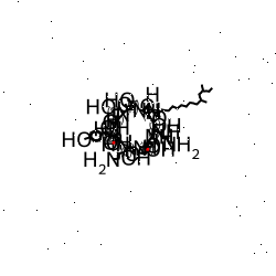 CCC(C)CC(C)CCCCCCCCC(=O)N[C@H]1C[C@H](O)[C@H](NCCN)NC(=O)[C@H]2[C@H](O)CCN2C(=O)[C@@H]([C@@H](O)CCN)NC(=O)[C@@H]([C@@H](O)[C@H](O)c2ccc(O)cc2)NC(=O)[C@H]2C[C@H](O)CN2C(=O)[C@@H]([C@H](C)O)NC1=O